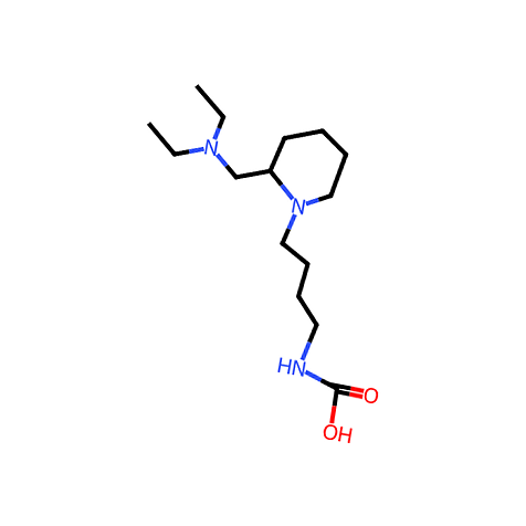 CCN(CC)CC1CCCCN1CCCCNC(=O)O